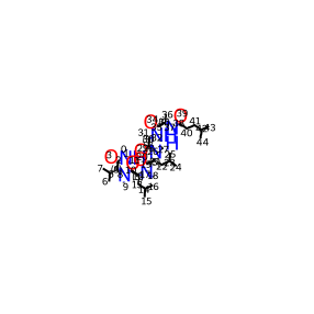 CNC(=O)[C@H](C(C)C)N(C)C(=O)[C@H](CC(C)C)N(C)C(=O)[C@H](CC(C)C)N(C)C(=O)[C@H](C)NC(=O)[C@@H](C)NC(=O)CCC(C)C